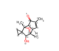 CC1=C[C@@H]2C(C1=O)[C@]1(C)O[C@H]2C(O)C12CC2